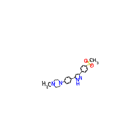 CN1CCN(c2ccc(-c3cc(-c4ccc(S(C)(=O)=O)cc4)n[nH]3)cc2)CC1